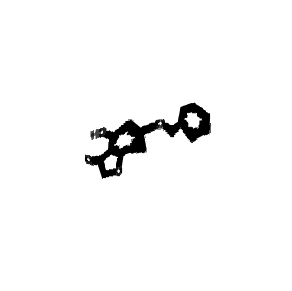 O=C1COc2cc(OCc3ccccc3)cc(O)c21